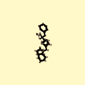 C[C@@](N)(Cc1ccccc1)c1nnc(Cn2ncc3ccccc32)o1